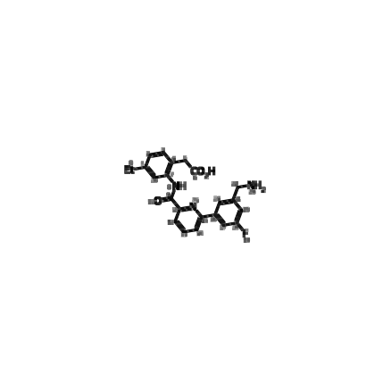 CCc1ccc(CC(=O)O)c(NC(=O)c2cccc(-c3cc(F)cc(CN)c3)n2)c1